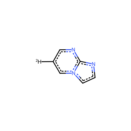 [2H]c1cnc2nccn2c1